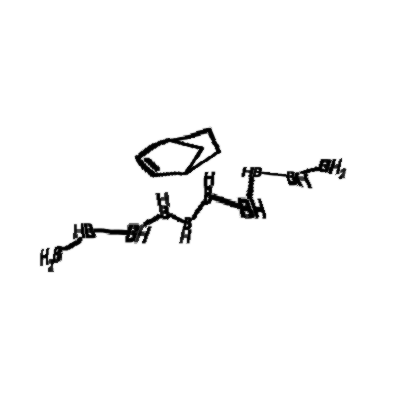 BBBBBBBBBB.C1=CC2CCC1C2